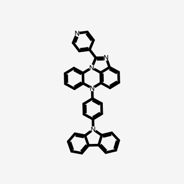 c1ccc2c(c1)N(c1ccc(-n3c4ccccc4c4ccccc43)cc1)c1cccc3nc(-c4ccncc4)n-2c13